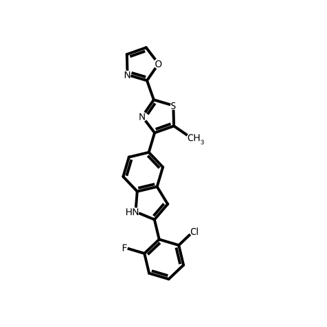 Cc1sc(-c2ncco2)nc1-c1ccc2[nH]c(-c3c(F)cccc3Cl)cc2c1